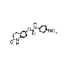 O=C1CCc2cc(OC(=O)Nc3ccc([N+](=O)[O-])cc3)ccc2N1